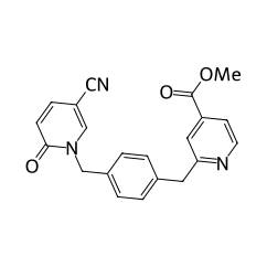 COC(=O)c1ccnc(Cc2ccc(Cn3cc(C#N)ccc3=O)cc2)c1